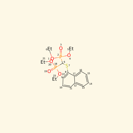 CCOP(=O)(OCC)C(Sc1cccc2ccccc12)P(=O)(OCC)OCC